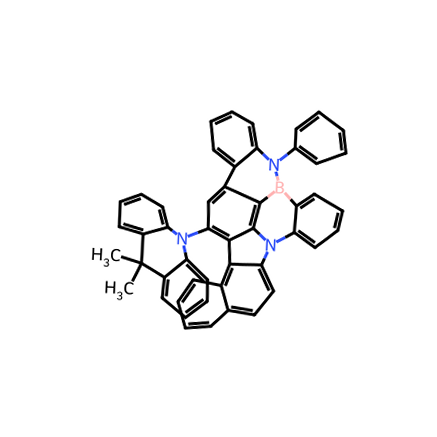 CC1(C)c2ccccc2N(c2cc3c4c5c2c2c6ccccc6ccc2n5-c2ccccc2B4N(c2ccccc2)c2ccccc2-3)c2ccccc21